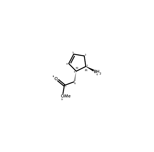 B[C@@H]1CC=C[C@H]1CC(=O)OC